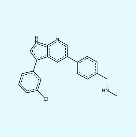 CNCc1ccc(-c2cnc3[nH]cc(-c4cccc(Cl)c4)c3c2)cc1